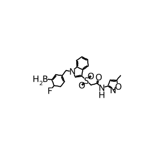 BC1=CC(Cn2cc(S(=O)(=O)CC(=O)Nc3cc(C)on3)c3ccccc32)=CCC1F